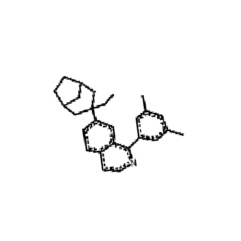 CCC1(c2ccc3ccnc(-c4cc(C)cc(C)c4)c3c2)CC2CCC(C2)C1